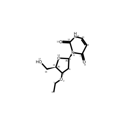 CCOC1C[C@H](n2c(=O)cc[nH]c2=O)O[C@@H]1CO